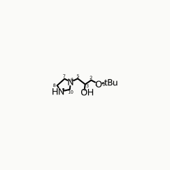 CC(C)(C)OCC(O)CN1CCNC1